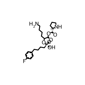 NCCCCC(OP(=O)(O)CCCCc1ccc(F)cc1)C(=O)OC(=O)[C@@H]1CCCN1